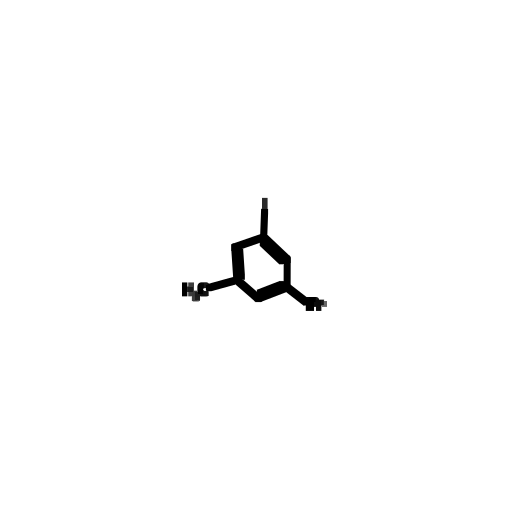 C[C](C)c1cc(C)cc(I)c1